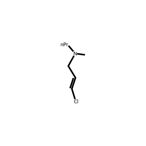 CCCN(C)C/C=C/Cl